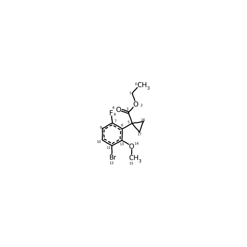 CCOC(=O)C1(c2c(F)ccc(Br)c2OC)CC1